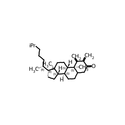 C=C1C(=C)[C@@]2(C)C(CC[C@H]3[C@@H]4CC[C@H]([C@H](C)CCCC(C)C)[C@@]4(C)CC[C@@H]32)CC1=O